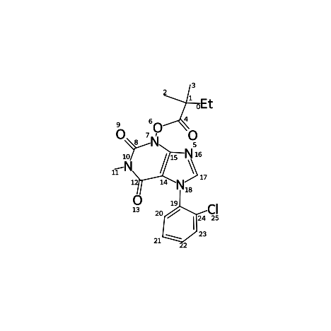 CCC(C)(C)C(=O)On1c(=O)n(C)c(=O)c2c1ncn2-c1ccccc1Cl